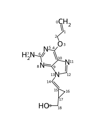 C=CCOc1nc(N)nc2c1ncn2C=C1CC1CO